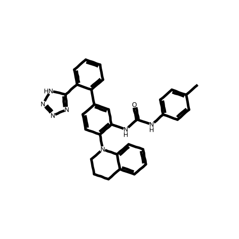 Cc1ccc(NC(=O)Nc2cc(-c3ccccc3-c3nnn[nH]3)ccc2N2CCCc3ccccc32)cc1